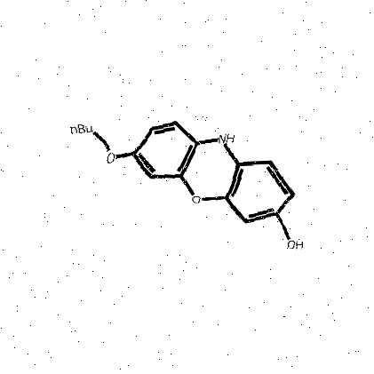 CCCCOc1ccc2c(c1)Oc1cc(O)ccc1N2